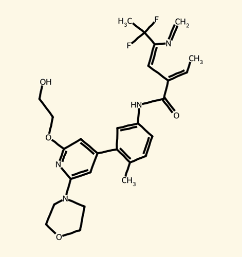 C=N/C(=C\C(=C/C)C(=O)Nc1ccc(C)c(-c2cc(OCCO)nc(N3CCOCC3)c2)c1)C(C)(F)F